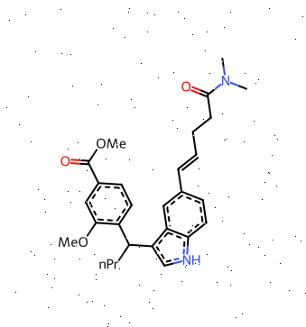 CCCC(c1ccc(C(=O)OC)cc1OC)c1c[nH]c2ccc(/C=C/CCC(=O)N(C)C)cc12